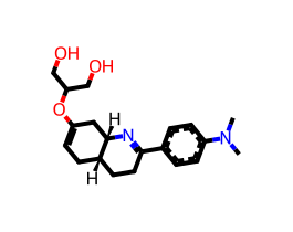 CN(C)c1ccc(C2=N[C@H]3CC(OC(CO)CO)=CC[C@H]3CC2)cc1